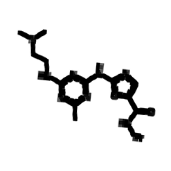 Cc1nc(NCCN(C)C)nc(Nc2ncc(C(=O)NC(C)C)o2)n1